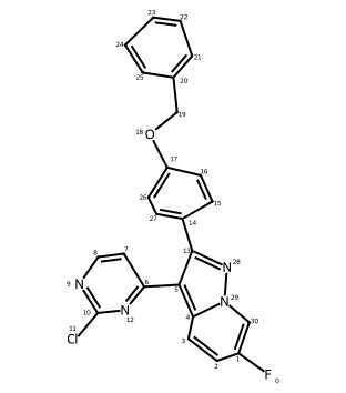 Fc1ccc2c(-c3ccnc(Cl)n3)c(-c3ccc(OCc4ccccc4)cc3)nn2c1